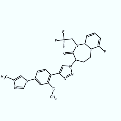 COc1cc(-n2cnc(C)c2)ccc1-c1cn(C2CCC3C(F)=CC=CC3N(CC(F)(F)F)C2=O)nn1